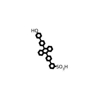 O=S(=O)(O)c1cccc(-c2ccc(-c3c4ccccc4c(-c4ccc(-c5ccc(O)cc5)cc4)c4ccccc34)cc2)c1